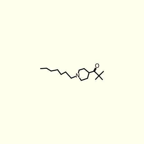 CCCCCCCN1CCC(C(=O)C(C)(C)C)CC1